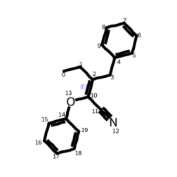 CC/C(Cc1ccccc1)=C(/C#N)Oc1ccccc1